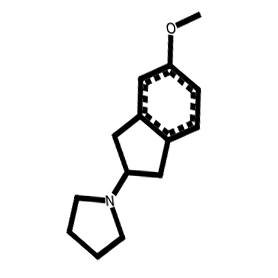 COc1ccc2c(c1)CC(N1CCCC1)C2